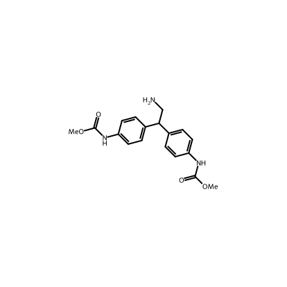 COC(=O)Nc1ccc(C(CN)c2ccc(NC(=O)OC)cc2)cc1